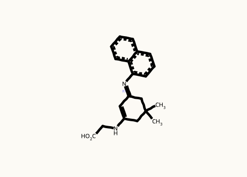 CC1(C)CC(NCC(=O)O)=C/C(=N/c2cccc3ccccc23)C1